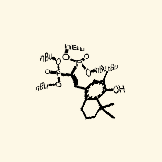 CCCCOP(=O)(OCCCC)C(=Cc1cc(C(C)(C)C)c(O)c2c1CCCC2(C)C)P(=O)(OCCCC)OCCCC